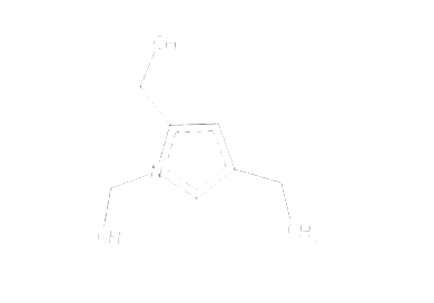 CCc1cc(CC)n(CC)c1